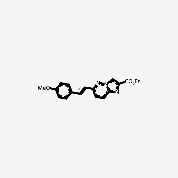 CCOC(=O)c1cn2nc(/C=C/c3ccc(OC)cc3)ccc2n1